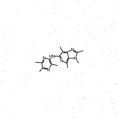 Cc1nc(C)c(Nc2nc(C)c3c(nc(C)n3C)c2C)nc1C